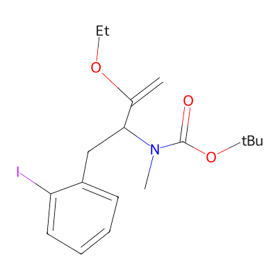 C=C(OCC)C(Cc1ccccc1I)N(C)C(=O)OC(C)(C)C